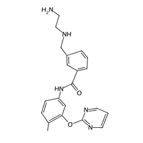 Cc1ccc(NC(=O)c2cccc(CNCCN)c2)cc1Oc1ncccn1